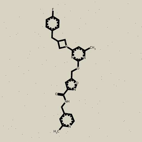 Cc1cc(CNC(=O)c2cc(COc3nc(C)cc(N4CC(Cc5ccc(F)cc5)C4)n3)on2)ccn1